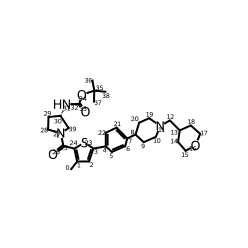 Cc1cc(-c2ccc(C3CCN(CC4CCOCC4)CC3)cc2)sc1C(=O)N1CC[C@H](NC(=O)OC(C)(C)C)C1